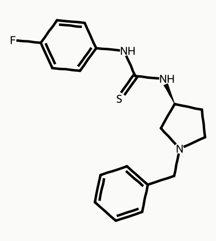 Fc1ccc(NC(=S)N[C@H]2CCN(Cc3ccccc3)C2)cc1